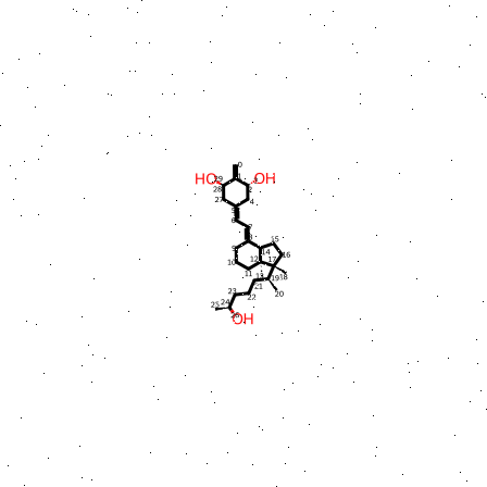 C=C1[C@H](O)CC(=C/C=C2\CCC[C@@]3(C)C2CC[C@]3(C)[C@@H](C)CCC[C@H](C)O)C[C@H]1O